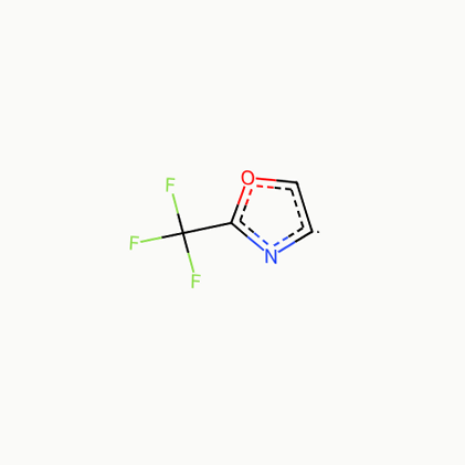 FC(F)(F)c1n[c]co1